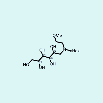 CCCCCCN(CCOC)C[C@H](O)[C@@H](O)[C@H](O)[C@H](O)CO